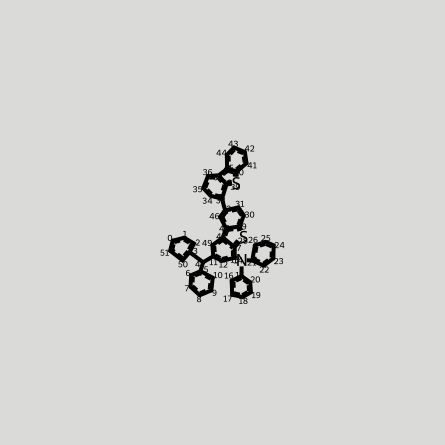 c1ccc(C(c2ccccc2)c2cc(N(c3ccccc3)c3ccccc3)c3sc4ccc(-c5cccc6c5sc5ccccc56)cc4c3c2)cc1